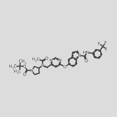 CC(=O)N(Cc1cc(Oc2ccc3c(ccn3C(=O)Nc3cccc(C(F)(F)F)c3)c2)ncn1)C1CCN(C(=O)OC(C)(C)C)C1